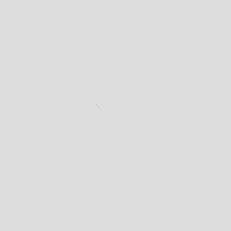 CC/N=C(\[S])CC[C]=O